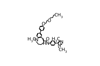 CCCCOCCOc1ccc(-c2ccc3c(c2)/C=C(/C(=O)Nc2ccc(-c4c(C)ncn4CC)cc2)CCCCN3C)cc1